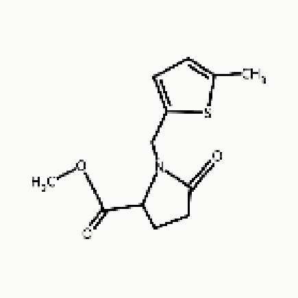 COC(=O)C1CCC(=O)N1Cc1ccc(C)s1